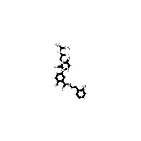 C=C(C)OC(=O)Cn1c(=O)cnn(-c2ccc(Cl)c(C(=O)NCCc3ccccc3Cl)c2)c1=O